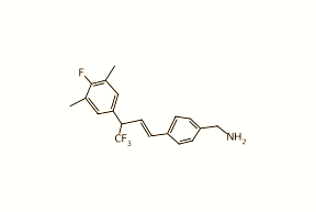 Cc1cc(C(/C=C/c2ccc(CN)cc2)C(F)(F)F)cc(C)c1F